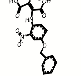 CC(C(=O)O)=C(Nc1ccc(OCc2ccccc2)cc1[N+](=O)[O-])C(=O)O